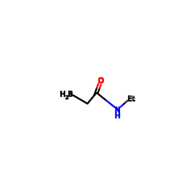 BCC(=O)NCC